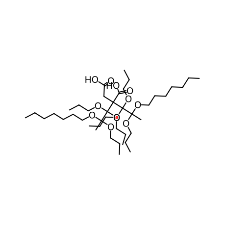 CCCCCCCOC(C)(OCCC)C(OCCC)(OCCC)C(CC(=O)O)(C(=O)O)C(OCCC)(OCCC)C(C)(OCCC)OCCCCCCC